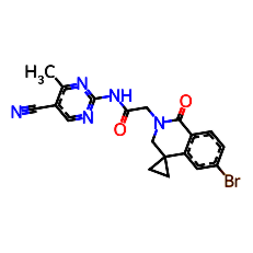 Cc1nc(NC(=O)CN2CC3(CC3)c3cc(Br)ccc3C2=O)ncc1C#N